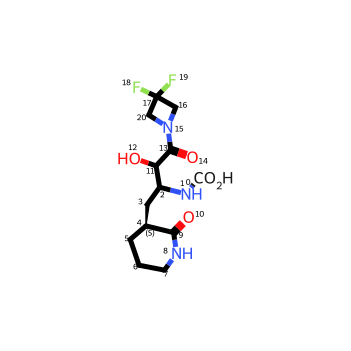 O=C(O)NC(C[C@@H]1CCCNC1=O)C(O)C(=O)N1CC(F)(F)C1